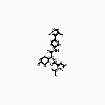 Cc1cnn(C)c1-c1ccc(NC(=O)[C@@H](NC(=O)c2ccnn2C(C)C)C2CCC(C)CC2)cn1